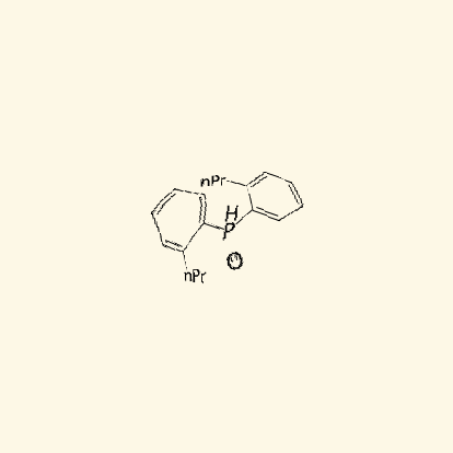 CCCc1ccccc1[PH](=O)c1ccccc1CCC